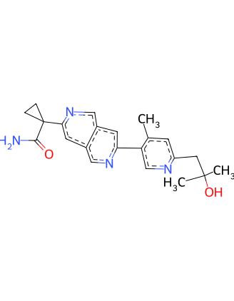 Cc1cc(CC(C)(C)O)ncc1-c1cc2cnc(C3(C(N)=O)CC3)cc2cn1